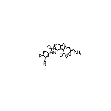 C[C@@H]1Cc2nn3c(c2CN1C(=O)Nc1ccc(F)c(C#N)c1)C(=O)N(C)OC(CN)C3